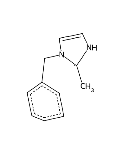 C[C]1NC=CN1Cc1ccccc1